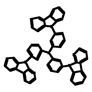 c1cc(N(c2cccc(-n3c4ccccc4c4cccnc43)c2)c2cccc(-n3c4ccccc4c4cccnc43)c2)cc(-n2c3ccccc3c3ccccc32)c1